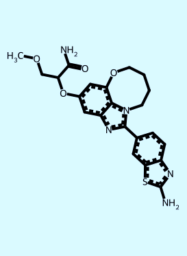 COCC(Oc1cc2c3c(c1)nc(-c1ccc4nc(N)sc4c1)n3CCCCO2)C(N)=O